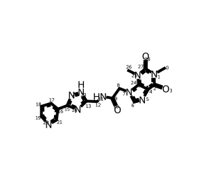 Cn1c(=O)c2ncn(CC(=O)NCc3nc(-c4cccnc4)n[nH]3)c2n(C)c1=O